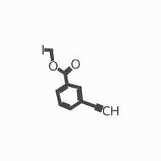 C#Cc1cccc(C(=O)OCI)c1